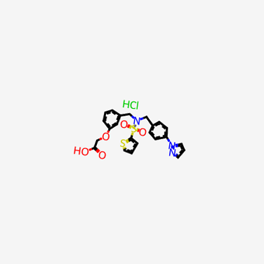 Cl.O=C(O)COc1cccc(CN(Cc2ccc(-n3cccn3)cc2)S(=O)(=O)c2cccs2)c1